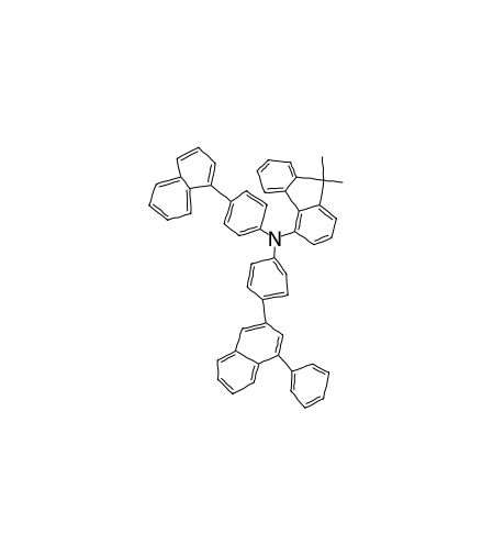 CC1(C)c2ccccc2-c2c(N(c3ccc(-c4cc(-c5ccccc5)c5ccccc5c4)cc3)c3ccc(-c4cccc5ccccc45)cc3)cccc21